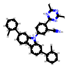 Cc1nc(C)nc(-c2ccc(-n3c4cc(-c5ccccc5C)ccc4c4ccc(-c5ccccc5C)cc43)cc2C#N)n1